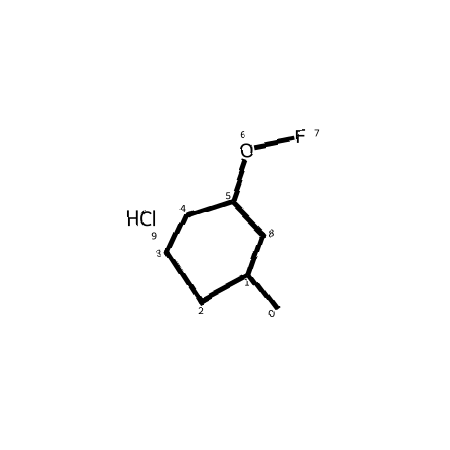 CC1CCCC(OF)C1.Cl